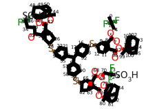 CC(F)(F)COC(=O)C1C2CC(CC2Sc2ccc(C(c3ccc(SC4CC5CC4C(C(=O)CCC(F)(F)S(=O)(=O)O)C5C(=O)OC4(C)C5CC6CC(C5)CC4C6)cc3)c3ccc(SC4CC5CC4C(C(=O)OCC(F)(F)S(=O)(=O)O)C5C(=O)OC4(C)C5CC6CC(C5)CC4C6)cc3)cc2)C1C(=O)OC1(C)C2CC3CC(C2)CC1C3